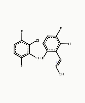 O/N=C/c1c(F)ccc(F)c1Cl.O=Cc1c(F)ccc(F)c1Cl